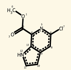 COC(=O)c1nc(Cl)cc2cc[nH]c12